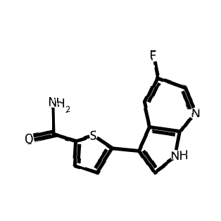 NC(=O)c1ccc(-c2c[nH]c3ncc(F)cc23)s1